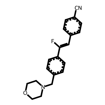 N#Cc1ccc(C=C(F)c2ccc(CN3CCOCC3)cc2)cc1